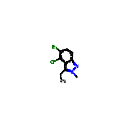 Cn1nc2ccc(Br)c(Cl)c2c1CC#N